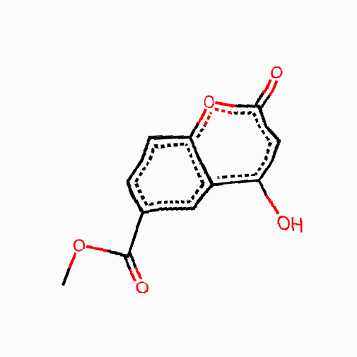 COC(=O)c1ccc2oc(=O)cc(O)c2c1